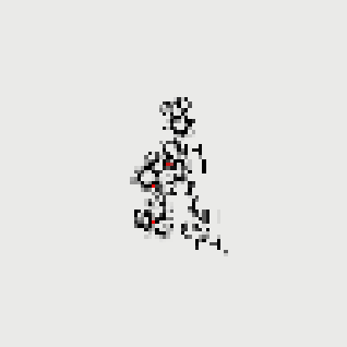 COC(=O)NCCCC[C@@H](COC(=O)N(Cc1cccs1)Cc1cccs1)NC(=O)N[C@@H](CC(=O)Oc1ccccc1)c1ccc2c(c1)OCO2